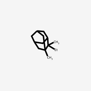 CCC1(C)C2CC3CC(C2)CC1(C)C3